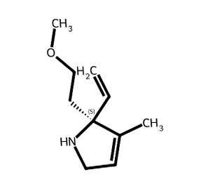 C=C[C@]1(CCOC)NCC=C1C